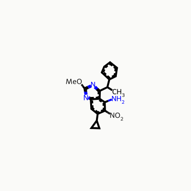 COc1nc(C(C)c2ccccc2)c2c(N)c([N+](=O)[O-])c(C3CC3)cc2n1